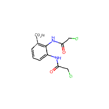 O=C(CCl)Nc1cccc(C(=O)O)c1NC(=O)CCl